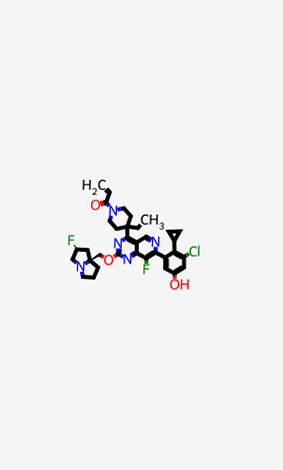 C=CC(=O)N1CCC(CC)(c2nc(OC[C@@]34CCCN3C[C@H](F)C4)nc3c(F)c(-c4cc(O)cc(Cl)c4C4CC4)ncc23)CC1